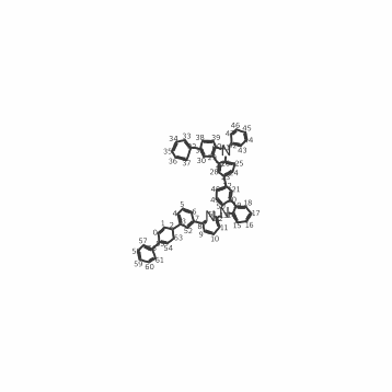 C1=CC(c2cccc(-c3cccc(-n4c5ccccc5c5cc(-c6ccc7c(c6)c6cc(-c8ccccc8)ccc6n7-c6ccccc6)ccc54)n3)c2)CC=C1c1ccccc1